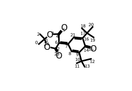 CC1(C)OC(=O)C(=C2C=C(C(C)(C)C)C(=O)C(C(C)(C)C)=C2)C(=O)O1